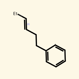 CC/C=C/CCc1[c]cccc1